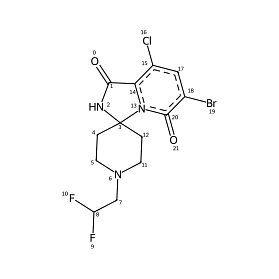 O=C1NC2(CCN(CC(F)F)CC2)n2c1c(Cl)cc(Br)c2=O